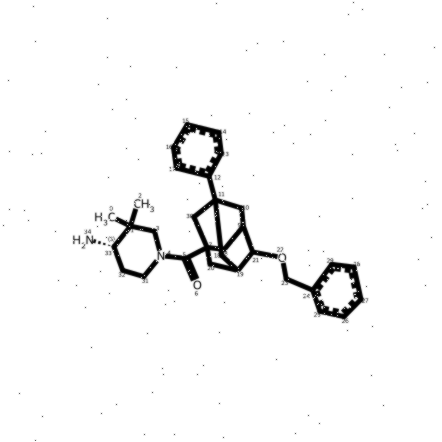 CC1(C)CN(C(=O)C23CC4CC(c5ccccc5)(CC(C2)C4OCc2ccccc2)C3)CC[C@@H]1N